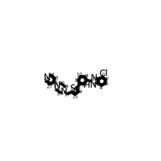 Clc1cccc2[nH]c(-c3cccc(-c4ccc(CN5CCN(c6ccncc6)CC5)s4)c3)nc12